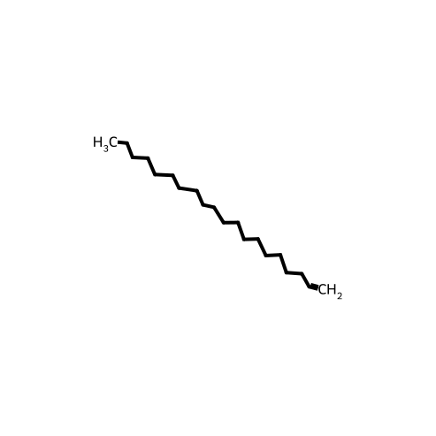 C=CCCCCCCCCCCCCCCCCCC